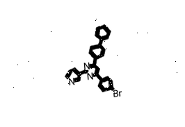 Brc1ccc(-c2cc(-c3ccc(-c4ccccc4)cc3)nc(-c3cccnc3)n2)cc1